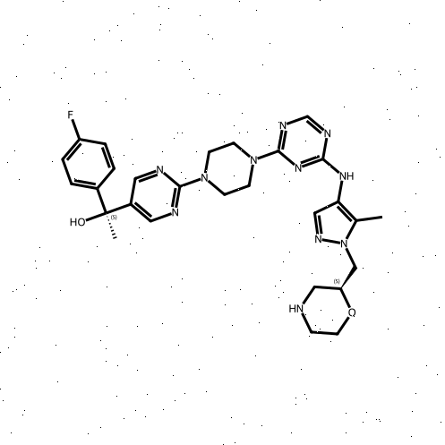 Cc1c(Nc2ncnc(N3CCN(c4ncc([C@@](C)(O)c5ccc(F)cc5)cn4)CC3)n2)cnn1C[C@@H]1CNCCO1